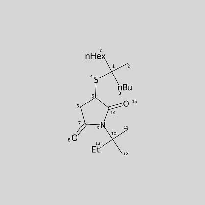 CCCCCCC(C)(CCCC)SC1CC(=O)N(C(C)(C)CC)C1=O